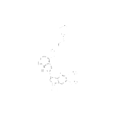 COc1cc2c(nc1OC)c(-c1cc3c(CNCCCN4CCCCC4)ccnc3[nH]1)cn2C